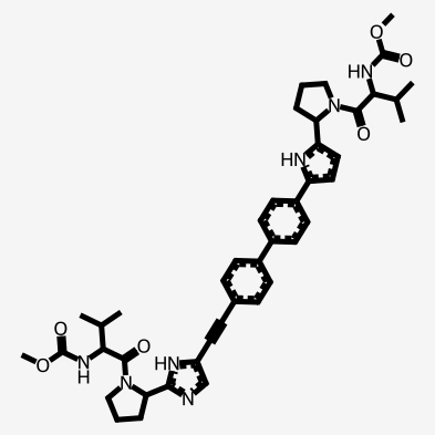 COC(=O)NC(C(=O)N1CCCC1c1ccc(-c2ccc(-c3ccc(C#Cc4cnc(C5CCCN5C(=O)C(NC(=O)OC)C(C)C)[nH]4)cc3)cc2)[nH]1)C(C)C